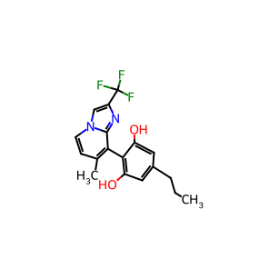 CCCc1cc(O)c(-c2c(C)ccn3cc(C(F)(F)F)nc23)c(O)c1